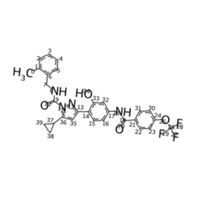 Cc1ccccc1CNC(=O)n1nc(-c2ccc(NC(=O)c3ccc(OC(F)(F)F)cc3)cc2O)cc1C1CC1